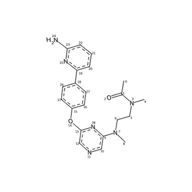 CC(=O)N(C)CCN(C)c1cncc(Oc2ccc(-c3cccc(N)n3)cc2)n1